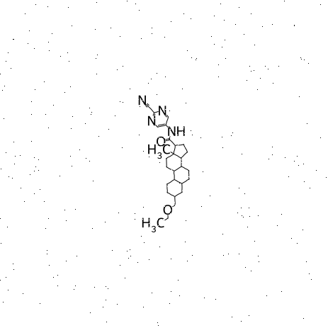 CCOCC1CCC2C(CCC3C2CCC2(C)C(C(=O)Nc4cnc(C#N)nc4)CCC32)C1